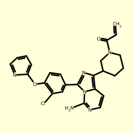 C=CC(=O)N1CCCC(c2nc(-c3ccc(Oc4ccccn4)c(Cl)c3)n3c(N)nccc23)C1